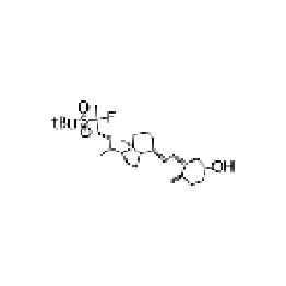 C=C1CCC(O)C/C1=C/C=C1\CCCC2(C)C1CCC2C(C)/C=C/C(C)(F)S(=O)(=O)C(C)(C)C